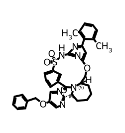 Cc1cccc(C)c1-c1cc2nc(n1)NS(=O)(=O)c1cccc(c1)C(=O)N1[C@@H](CCCC[C@@H]1c1ncc(OCc3ccccc3)cn1)CO2